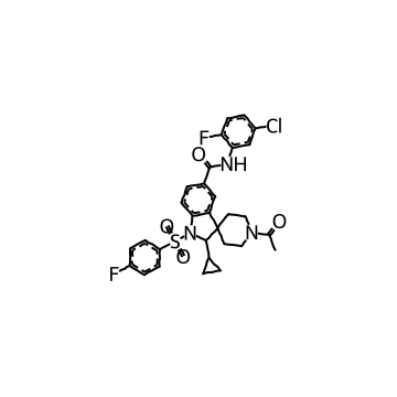 CC(=O)N1CCC2(CC1)c1cc(C(=O)Nc3cc(Cl)ccc3F)ccc1N(S(=O)(=O)c1ccc(F)cc1)C2C1CC1